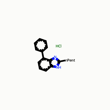 CCCCCc1nc2c(-c3ccccc3)cccc2[nH]1.Cl